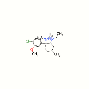 CCNC1CC(C)CCC1(c1ccc(Cl)c(OC)c1)N(C)C